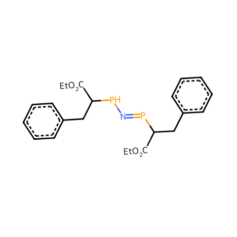 CCOC(=O)C(Cc1ccccc1)P=NPC(Cc1ccccc1)C(=O)OCC